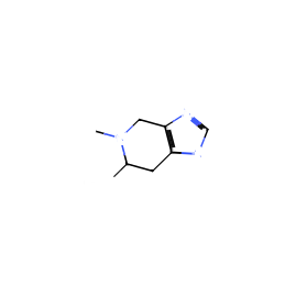 CN1Cc2nc[nH]c2CC1C=O